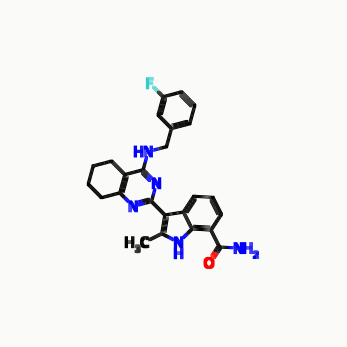 Cc1[nH]c2c(C(N)=O)cccc2c1-c1nc2c(c(NCc3cccc(F)c3)n1)CCCC2